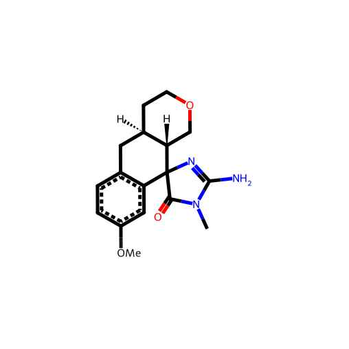 COc1ccc2c(c1)C1(N=C(N)N(C)C1=O)[C@H]1COCC[C@@H]1C2